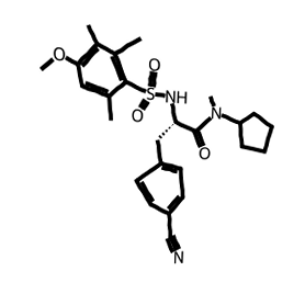 COc1cc(C)c(S(=O)(=O)N[C@@H](Cc2ccc(C#N)cc2)C(=O)N(C)C2CCCC2)c(C)c1C